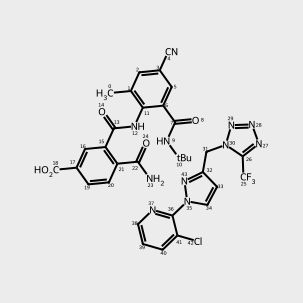 Cc1cc(C#N)cc(C(=O)NC(C)(C)C)c1NC(=O)c1cc(C(=O)O)ccc1C(N)=O.FC(F)(F)c1nnnn1Cc1ccn(-c2ncccc2Cl)n1